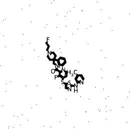 Cc1ccnc(Nc2ncc(Sc3ccnc(C(=O)NCC4(c5ccccc5)CCN(CCCF)CC4)c3F)s2)c1